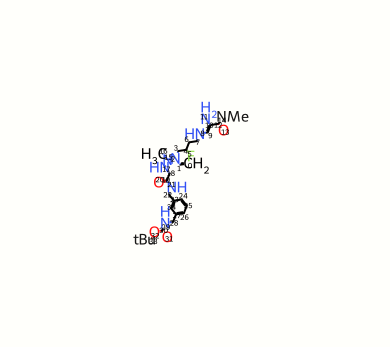 C=CN(CC(F)CCN/C=C(\N)C(=O)NC)N(C)NCC(=O)NCc1cccc(CNC(=O)OC(C)(C)C)c1